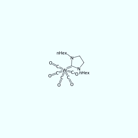 CCCCCCN1CCN(CCCCCC)[C]1=[W](=[C]=O)(=[C]=O)(=[C]=O)(=[C]=O)=[C]=O